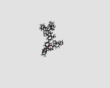 O=C1CCN(c2ccc(CN3C4CCC3CN(c3ccc(-c5cc(F)c6c(c5)C(=O)N(C(C(=O)Nc5nccs5)c5ncn7c5CCC7)C6)cc3)C4)cn2)C(=O)N1